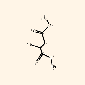 CCCOC(=O)CC(I)C(=O)OCCC